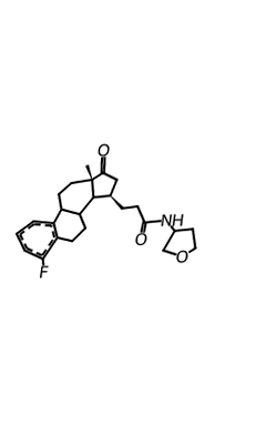 C[C@]12CCC3c4cccc(F)c4CCC3C1[C@H](CCC(=O)NC1CCOC1)CC2=O